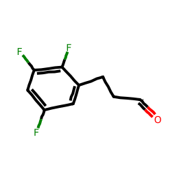 O=[C]CCc1cc(F)cc(F)c1F